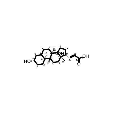 C[C@]12CC[C@H]3[C@@H](CCC4C[C@@H](O)CC[C@@]43C)[C@@H]1CC[C@@H]2/C=C/C(=O)O